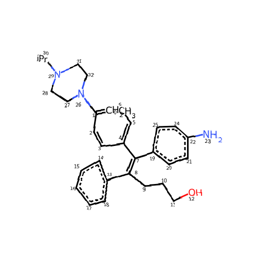 C=C(\C=C/C(=C\C)C(=C(/CCCO)c1ccccc1)/c1ccc(N)cc1)N1CCN(C(C)C)CC1